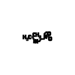 CC(C)C1CN1CCCN1CCOC1=O